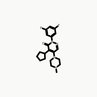 CN1CCN(c2cnn(-c3cc(F)cc(F)c3)c(=O)c2C2CCCC2)CC1